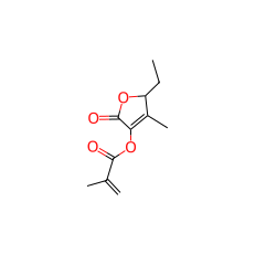 C=C(C)C(=O)OC1=C(C)C(CC)OC1=O